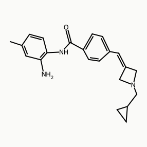 Cc1ccc(NC(=O)c2ccc(C=C3CN(CC4CC4)C3)cc2)c(N)c1